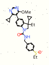 CC[S+]([O-])c1ccc(CNC(=O)N2CC(CC)(C3CC3)c3cc(-c4c(OC)ncnc4C4CC4)ccc32)cc1